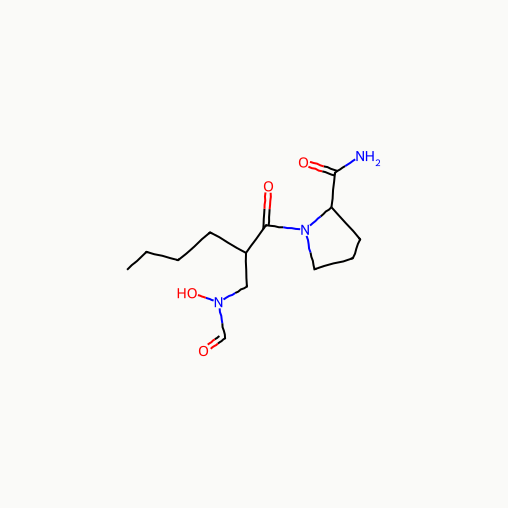 CCCCC(CN(O)C=O)C(=O)N1CCCC1C(N)=O